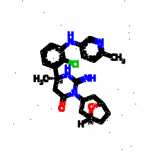 Cc1ccc(Nc2cccc([C@]3(C)CC(=O)N(C4CC5CC[C@H](C4)O5)C(=N)N3)c2Cl)cn1